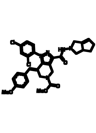 COC(=O)N1CC(=Cc2ccc(OC)cc2)c2c(c(C(=O)NN3CC4=CCCC4C3)nn2-c2ccc(Cl)cc2Cl)C1